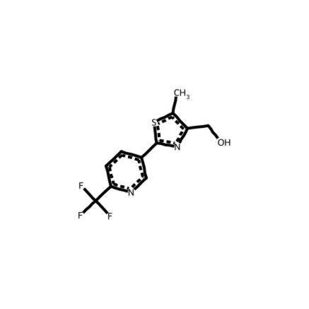 Cc1sc(-c2ccc(C(F)(F)F)nc2)nc1CO